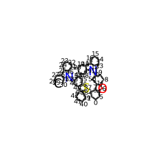 c1ccc2c(c1)oc1ccc(-n3c4ccccc4c4cc(-c5cccc6c7ccccc7n(-c7ccc8sc9ccccc9c8c7)c56)ccc43)cc12